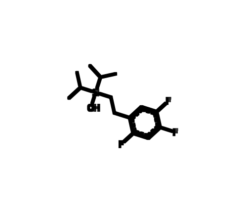 CC(C)[Si](O)(CCc1cc(F)c(F)cc1F)C(C)C